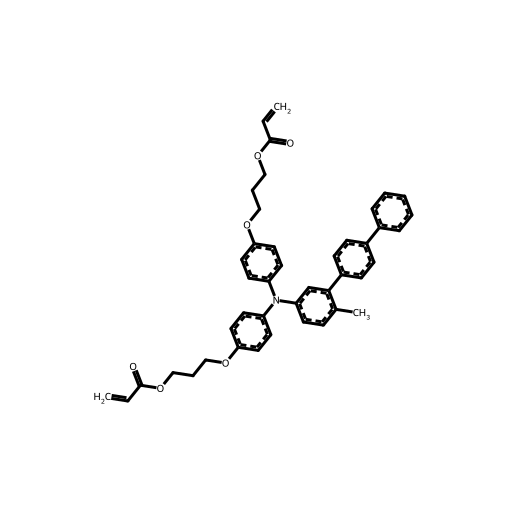 C=CC(=O)OCCCOc1ccc(N(c2ccc(OCCCOC(=O)C=C)cc2)c2ccc(C)c(-c3ccc(-c4ccccc4)cc3)c2)cc1